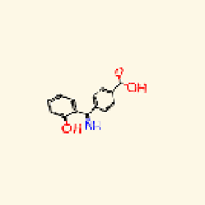 N=C(c1ccc(C(=O)O)cc1)c1ccccc1O